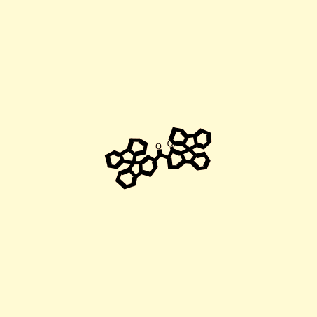 O=C(c1ccc2c(c1)C1(c3ccccc3-c3ccccc31)c1ccccc1-2)c1ccc2c(c1O)C1(c3ccccc3-c3ccccc31)c1ccccc1-2